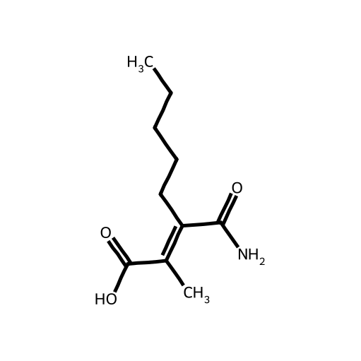 CCCCCC(C(N)=O)=C(C)C(=O)O